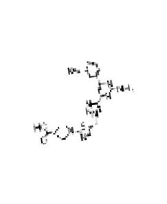 N#Cc1cccc(-c2cc(-c3cn(Cc4cnc(N5CCC(C(=O)O)CC5)s4)nn3)nc(N)n2)c1